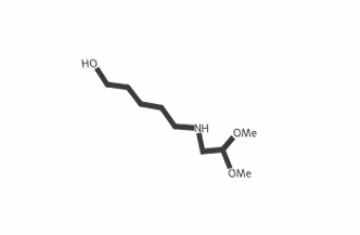 COC(CNCCCCCO)OC